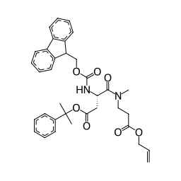 C=CCOC(=O)CCN(C)C(=O)[C@H](CC(=O)OC(C)(C)c1ccccc1)NC(=O)OCC1c2ccccc2-c2ccccc21